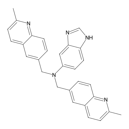 Cc1ccc2cc(CN(Cc3ccc4nc(C)ccc4c3)c3ccc4[nH]cnc4c3)ccc2n1